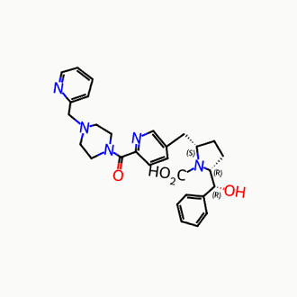 O=C(c1ccc(C[C@@H]2CC[C@H]([C@H](O)c3ccccc3)N2C(=O)O)cn1)N1CCN(Cc2ccccn2)CC1